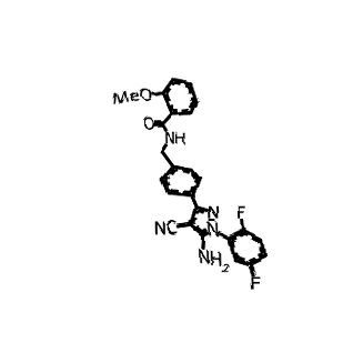 COc1ccccc1C(=O)NCc1ccc(-c2nn(-c3cc(F)ccc3F)c(N)c2C#N)cc1